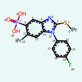 CC(C)Sc1nc2cc(P(=O)(O)O)c(C(C)C)cc2n1-c1ccc(F)cc1